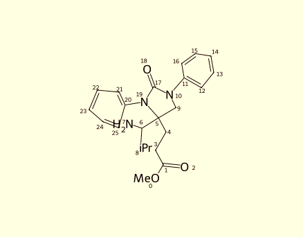 COC(=O)CCC1(C(N)C(C)C)CN(c2ccccc2)C(=O)N1c1ccccc1